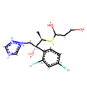 C[C@@H](SC(O)CCO)[C@](O)(Cn1cncn1)c1ccc(F)cc1F